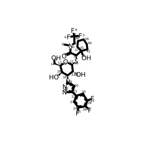 CN(CC(F)(F)F)C(=O)[C@H](S[C@@H]1O[C@H](CO)[C@H](O)[C@H](n2cc(-c3cc(F)c(F)c(F)c3)nn2)[C@H]1O)C1(O)CCCCC1